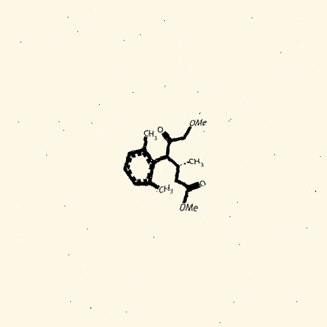 COCC(=O)C(c1c(C)cccc1C)[C@H](C)CC(=O)OC